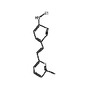 C[CH]Nc1ccc(C=Cc2cccc(C)n2)cc1